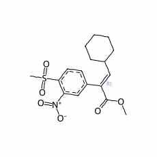 COC(=O)/C(=C/C1CCCCC1)c1ccc(S(C)(=O)=O)c([N+](=O)[O-])c1